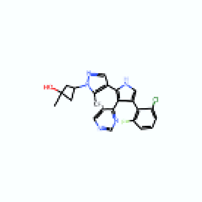 CC1(O)CC(n2ncc(-c3[nH]cc(-c4c(F)cccc4Cl)c3-c3ccncn3)c2C(F)(F)F)C1